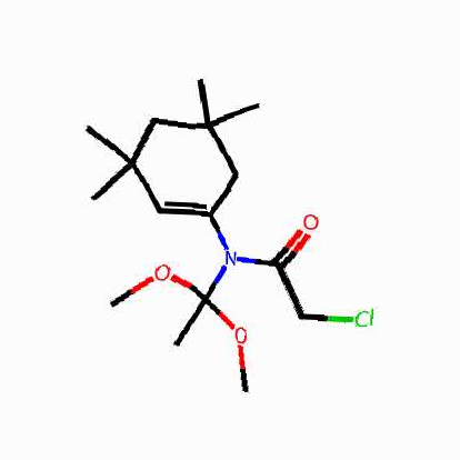 COC(C)(OC)N(C(=O)CCl)C1=CC(C)(C)CC(C)(C)C1